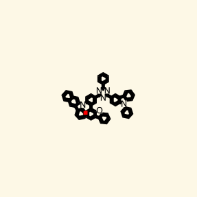 c1ccc(-c2nc(-c3ccc(-n4c5ccccc5c5cc6ccccc6cc54)c(-c4cccc5c4oc4ccccc45)c3)nc(-c3ccc4c(c3)c3ccccc3n4-c3ccccc3)n2)cc1